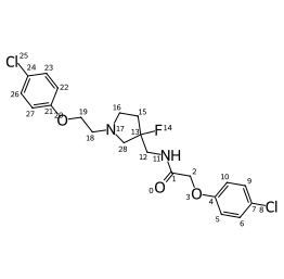 O=C(COc1ccc(Cl)cc1)NCC1(F)CCN(CCOc2ccc(Cl)cc2)C1